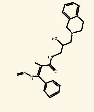 C=NN/C(=C(\C)C(=O)NCC(O)CN1CCc2ccccc2C1)c1ccccc1